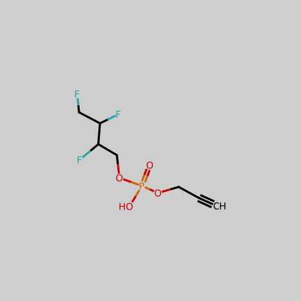 C#CCOP(=O)(O)OCC(F)C(F)CF